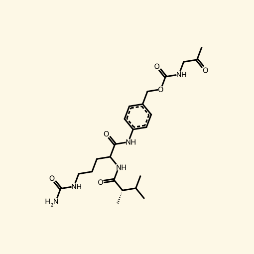 CC(=O)CNC(=O)OCc1ccc(NC(=O)C(CCCNC(N)=O)NC(=O)[C@@H](C)C(C)C)cc1